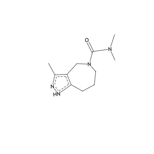 Cc1n[nH]c2c1CN(C(=O)N(C)C)CCC2